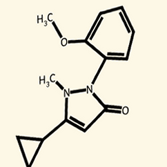 COc1ccccc1-n1c(=O)cc(C2CC2)n1C